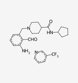 FC(F)(F)c1cccnc1.Nc1cccc(CN2CCC(C(=O)NC3CCCC3)CC2)c1C=O